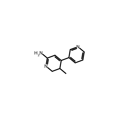 CC1CN=C(N)C=C1c1cccnc1